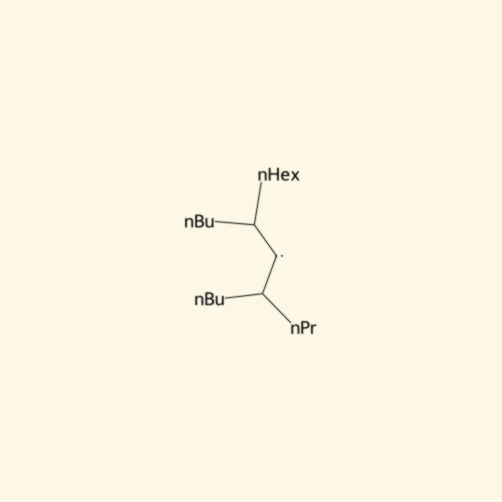 CCCCCCC([CH]C(CCC)CCCC)CCCC